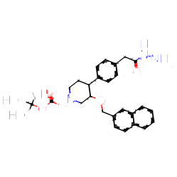 CC(C)(C)OC(=O)ON1CCC(c2ccc(CC(=O)NN)cc2)C(OCc2ccc3ccccc3c2)C1